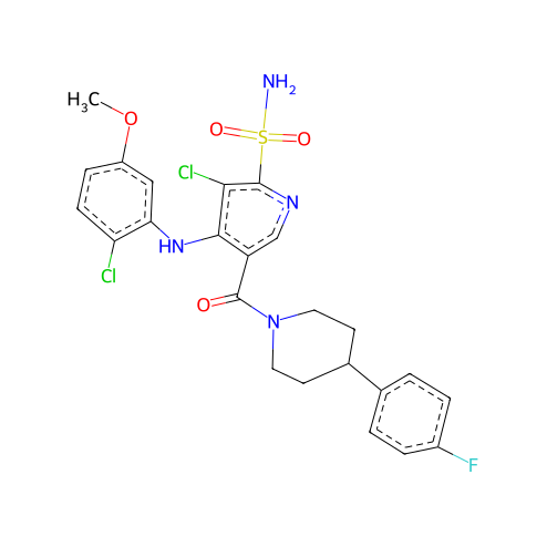 COc1ccc(Cl)c(Nc2c(C(=O)N3CCC(c4ccc(F)cc4)CC3)cnc(S(N)(=O)=O)c2Cl)c1